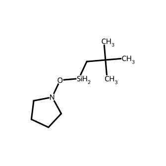 CC(C)(C)C[SiH2]ON1CCCC1